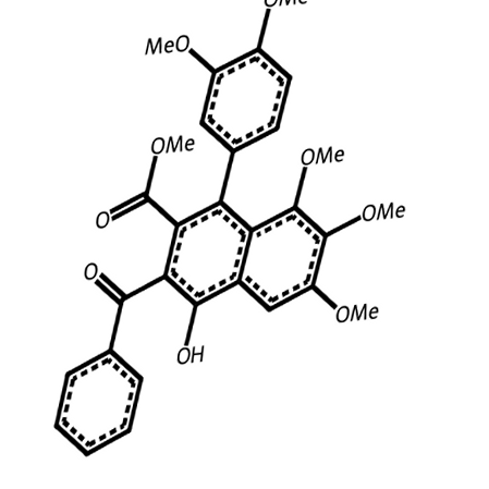 COC(=O)c1c(C(=O)c2ccccc2)c(O)c2cc(OC)c(OC)c(OC)c2c1-c1ccc(OC)c(OC)c1